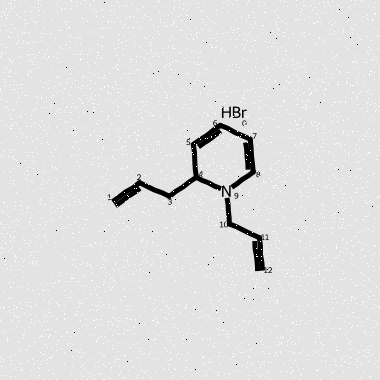 Br.C=CCC1C=CC=CN1CC=C